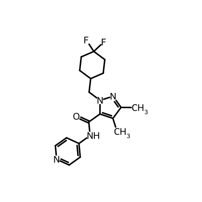 Cc1nn(CC2CCC(F)(F)CC2)c(C(=O)Nc2ccncc2)c1C